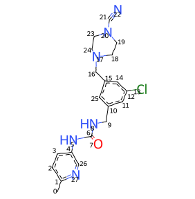 Cc1ccc(NC(=O)NCc2cc(Cl)cc(CN3CCN(C#N)CC3)c2)cn1